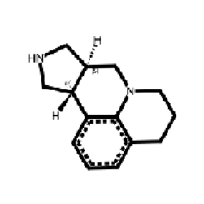 c1cc2c3c(c1)[C@@H]1CNC[C@H]1CN3CCC2